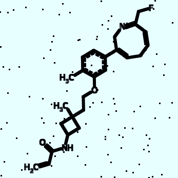 C=CC(=O)NC1CC(C)(CCOc2cc(/C3=C/C/C=C\C(CF)=N/C3)ccc2C)C1